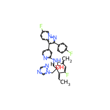 C=C(C)/C=C(F)\C(=C/C)C(O)(CNc1cc(-c2c(-c3ccc(F)cc3)nn3cc(F)ccc23)ccn1)Cn1cncn1